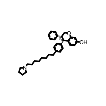 Oc1ccc2c(c1)OC[C@H](c1ccccc1)[C@@H]2c1ccc(CCCCCCCCN2CCCC2)cc1